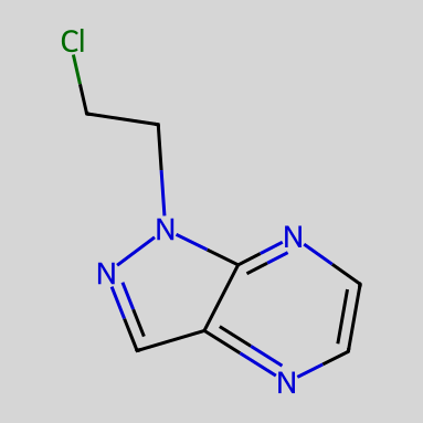 ClCCn1ncc2nccnc21